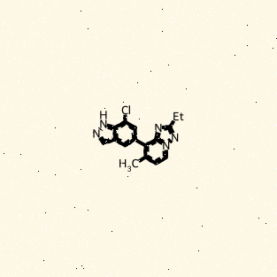 CCc1nc2c(-c3cc(Cl)c4[nH]ncc4c3)c(C)ccn2n1